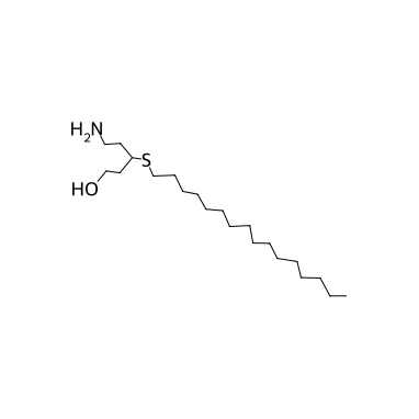 CCCCCCCCCCCCCCCCSC(CCN)CCO